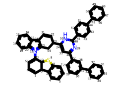 C1=CC2c3ccccc3SC2C(n2c3c(c4ccccc42)C=CC(C2=CC(c4cccc(-c5ccccc5)c4)=NC(c4ccc(-c5ccccc5)cc4)N2)C3)=C1